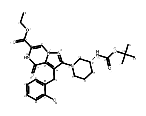 CCOC(=O)c1cn2nc(N3CCC[C@@H](NC(=O)OC(C)(C)C)C3)c(Cc3ccccc3Cl)c2c(=O)[nH]1